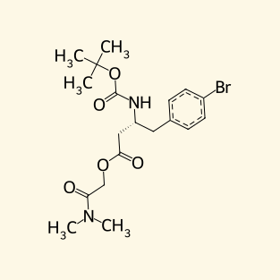 CN(C)C(=O)COC(=O)C[C@@H](Cc1ccc(Br)cc1)NC(=O)OC(C)(C)C